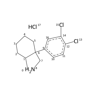 CC1CCCCC1(CN)c1ccc(Cl)c(Cl)c1.Cl